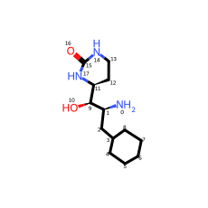 N[C@@H](CC1CCCCC1)[C@@H](O)[C@@H]1CCNC(=O)N1